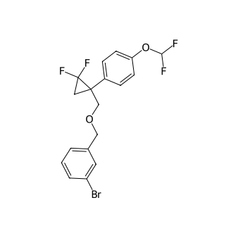 FC(F)Oc1ccc(C2(COCc3cccc(Br)c3)CC2(F)F)cc1